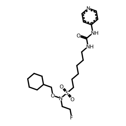 O=C(NCCCCCCS(=O)(=O)N(CCF)OCC1CCCCC1)Nc1ccncc1